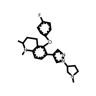 CC1CCc2c(ccc(-c3cnn(C4CCN(C)C4)c3)c2Oc2ccc(F)cc2)N1C